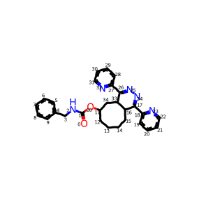 O=C(NCc1ccccc1)OC1CCCCC2C(c3ccccn3)=NN=C(c3ccccn3)C2C1